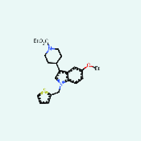 CCOC(=O)N1CCC(c2cn(Cc3cccs3)c3ccc(OCC)cc23)CC1